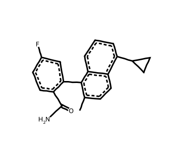 Cc1ccc2c(C3CC3)cccc2c1-c1cc(F)ccc1C(N)=O